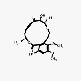 COc1cc(O)c2c(c1OC)CCC[C@H](O)[C@H](O)C(=O)/C=C\C[C@H](C)OC2=O